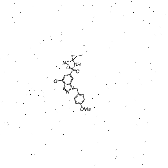 COc1ccc(Cn2ncc3c(Cl)cc(S(=O)(=O)NC4(C#N)CC4C)cc32)cc1